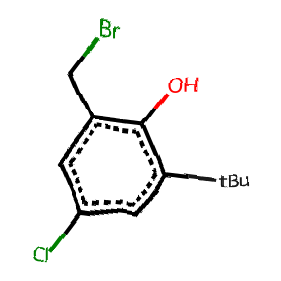 CC(C)(C)c1cc(Cl)cc(CBr)c1O